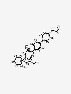 CCCC(C)C1(c2ccc(-c3ccc([C@H]4CC[C@H](CCC)CC4)cc3)c(F)c2)CCCCC1